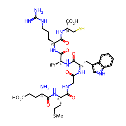 CSCC[C@H](NC(=O)[C@@H](N)CCC(=O)O)C(=O)NCC(=O)N[C@@H](Cc1c[nH]c2ccccc12)C(=O)N[C@H](C(=O)N[C@@H](CCCNC(=N)N)C(=O)N[C@@H](CS)C(=O)O)C(C)C